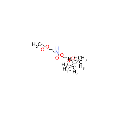 C=CC(=O)OCCCNC(=O)OCCOC(=O)C(CC(C)(C)C)C(C)(C)C